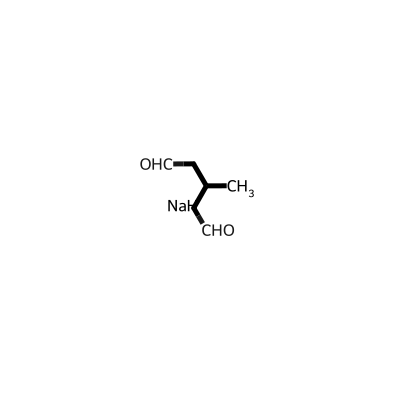 CC(CC=O)CC=O.[NaH]